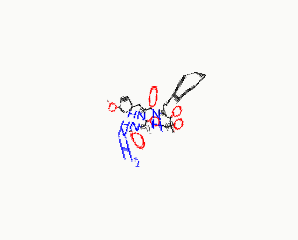 COc1ccc(C[C@H](NC(=O)[C@H](C)NC(N)=O)C(=O)N[C@@H](Cc2ccccc2)C(=O)[C@@]2(C)CO2)cc1